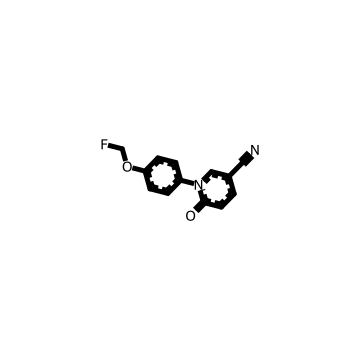 N#Cc1ccc(=O)n(-c2ccc(OCF)cc2)c1